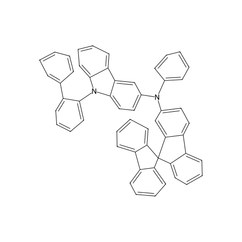 c1ccc(-c2ccccc2-n2c3ccccc3c3cc(N(c4ccccc4)c4ccc5c(c4)C4(c6ccccc6-c6ccccc64)c4ccccc4-5)ccc32)cc1